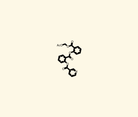 CC(=O)OCOC(=O)c1ccccc1OC(=O)c1ccccc1OC(=O)c1cccnc1